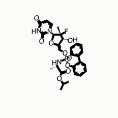 CC(C)OC(=O)[C@H](C)NP(=O)(O/C=C1/O[C@@H](n2ccc(=O)[nH]c2=O)[C@](C)(F)[C@@H]1O)Oc1ccccc1-c1ccccc1